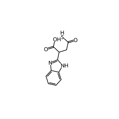 O=C(S)CC(C(=O)O)c1nc2ccccc2[nH]1